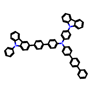 c1ccc(-c2ccc(-c3ccc(N(c4ccc(-c5ccc(-c6ccc7c(c6)c6ccccc6n7-c6ccccc6)cc5)cc4)c4ccc(-n5c6ccccc6c6ccccc65)cc4)cc3)cc2)cc1